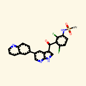 CCCS(=O)(=O)Nc1ccc(F)c(C(=O)c2c[nH]c3ncc(-c4ccc5ncccc5c4)cc23)c1F